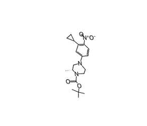 C[C@@H]1CN(c2ccc([N+](=O)[O-])c(C3CC3)c2)CCN1C(=O)OC(C)(C)C